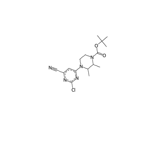 CC1C(C)N(c2cc(C#N)nc(Cl)n2)CCN1C(=O)OC(C)(C)C